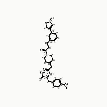 COc1ccc(C[C@H](NC(=O)CC2CCN(C(=O)CCc3cccc(-c4cnn(C)c4)c3)CC2)C(=O)O)cc1